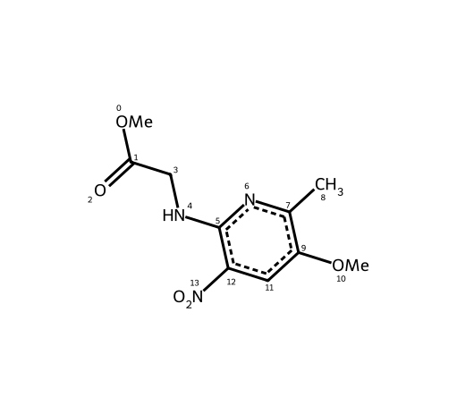 COC(=O)CNc1nc(C)c(OC)cc1[N+](=O)[O-]